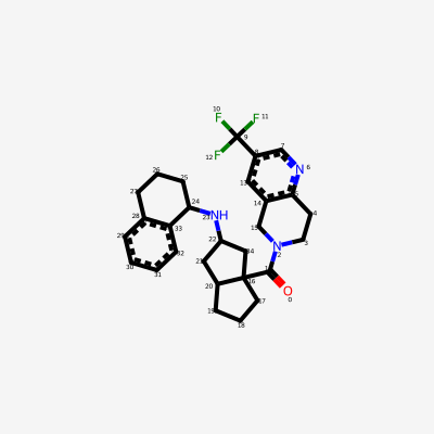 O=C(N1CCc2ncc(C(F)(F)F)cc2C1)C12CCCC1CC(NC1CCCc3ccccc31)C2